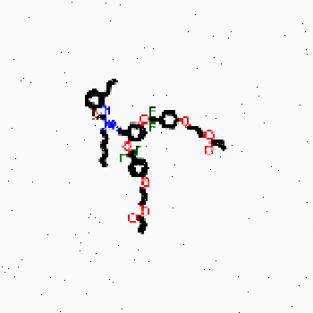 C=CC(=O)OCCCOc1ccc(C(F)(F)Oc2ccc(OC(F)(F)C3CCC(OCCCOC(=O)C=C)CC3)cc2/C=N/N(CCCCCC)c2nc3c(CCC)cccc3s2)cc1